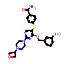 NC(=O)c1ccc(Sc2cnc(N3CCN(C4COC4)CC3)nc2OCc2cccc(C=O)c2)cc1